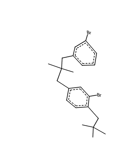 CC(C)(C)Cc1ccc(CC(C)(C)Cc2cccc(Br)c2)cc1Br